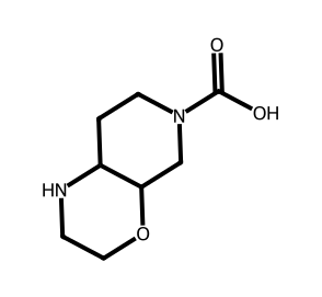 O=C(O)N1CCC2NCCOC2C1